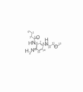 CCCC(=O)Nc1cc(NCCOC)ccc1N